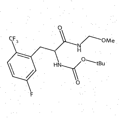 COCNC(=O)C(Cc1cc(F)ccc1C(F)(F)F)NC(=O)OC(C)(C)C